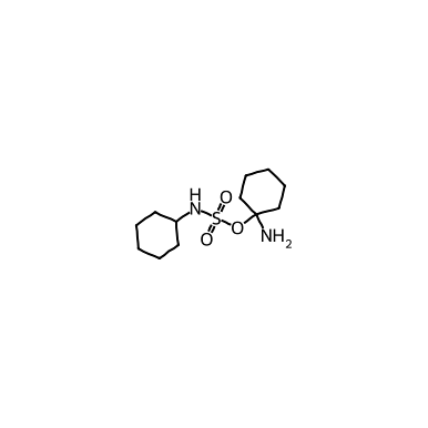 NC1(OS(=O)(=O)NC2CCCCC2)CCCCC1